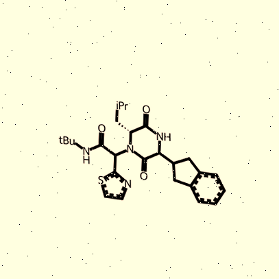 CC(C)C[C@@H]1C(=O)NC(C2Cc3ccccc3C2)C(=O)N1C(C(=O)NC(C)(C)C)c1nccs1